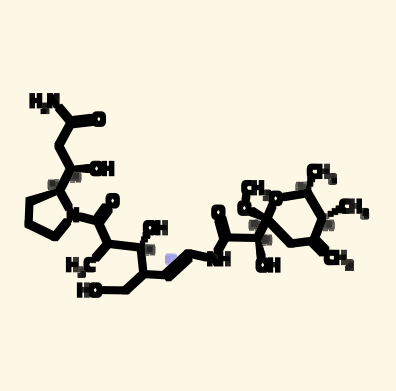 C=C1C[C@](OC)([C@@H](O)C(=O)N/C=C/C(CO)[C@@H](O)C(C)C(=O)N2CCC[C@H]2[C@H](O)CC(N)=O)O[C@H](C)[C@@H]1C